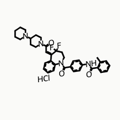 Cc1ccccc1C(=O)Nc1ccc(C(=O)N2CCC(F)(F)C(=CC(=O)N3CCC(N4CCCCC4)CC3)c3ccccc32)cc1.Cl